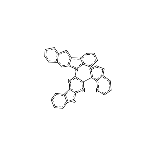 c1ccc2cc3c(cc2c1)c1ccccc1n3-c1nc2c(nc1-c1cccc3cccnc13)sc1ccccc12